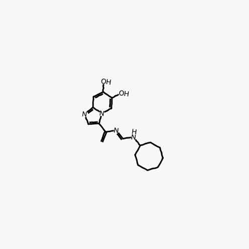 C=C(/N=C/NC1CCCCCCC1)c1cnc2cc(O)c(O)cn12